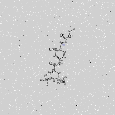 CCOC(=O)/C=C/c1ccc(NC(=O)c2cc([Si](C)(C)C)cc([Si](C)(C)C)c2)cc1Cl